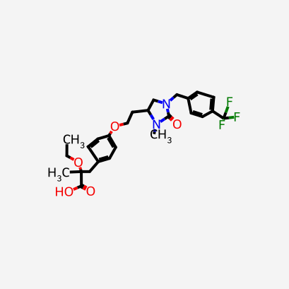 CCOC(C)(Cc1ccc(OCCC2CN(Cc3ccc(C(F)(F)F)cc3)C(=O)N2C)cc1)C(=O)O